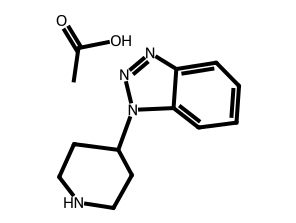 CC(=O)O.c1ccc2c(c1)nnn2C1CCNCC1